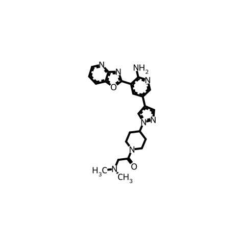 CN(C)CC(=O)N1CCC(n2cc(-c3cnc(N)c(-c4nc5ncccc5o4)c3)cn2)CC1